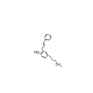 CCCCc1ccc(O)c(C/C=C/c2ccccc2)c1